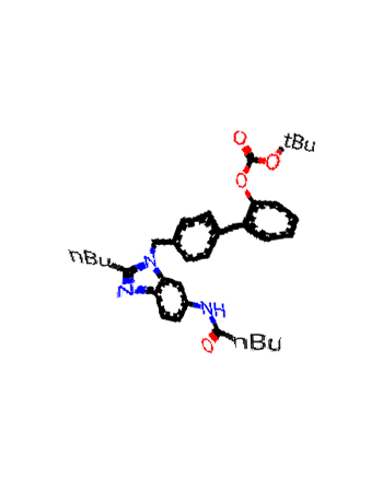 CCCCC(=O)Nc1ccc2nc(CCCC)n(Cc3ccc(-c4ccccc4OC(=O)OC(C)(C)C)cc3)c2c1